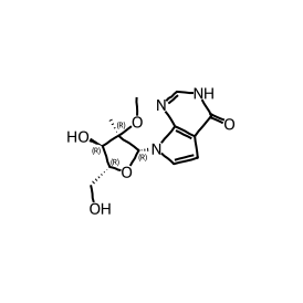 CO[C@]1(C)[C@H](O)[C@@H](CO)O[C@H]1n1ccc2c(=O)[nH]cnc21